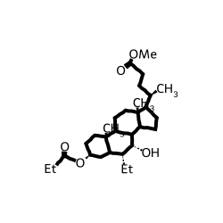 CCC(=O)O[C@@H]1CC[C@]2(C)C3CC[C@@]4(C)C(CCC4[C@H](C)CCC(=O)OC)C3[C@H](O)[C@H](CC)C2C1